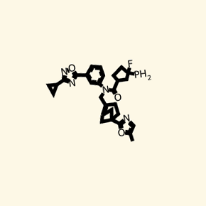 Cc1cnc(C23CCC(CN(C(=O)C4CCC(F)(P)C4)c4cccc(-c5nc(C6CC6)no5)c4)=C(C2)C3)o1